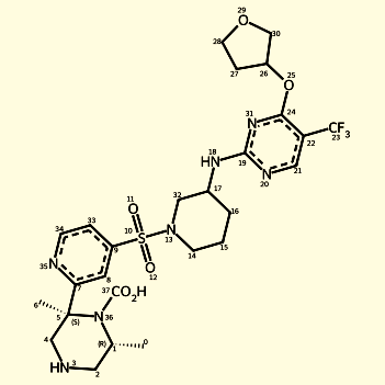 C[C@@H]1CNC[C@@](C)(c2cc(S(=O)(=O)N3CCCC(Nc4ncc(C(F)(F)F)c(OC5CCOC5)n4)C3)ccn2)N1C(=O)O